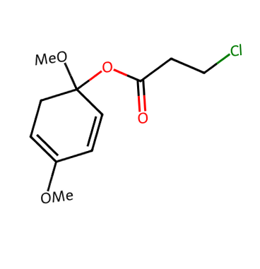 COC1=CCC(OC)(OC(=O)CCCl)C=C1